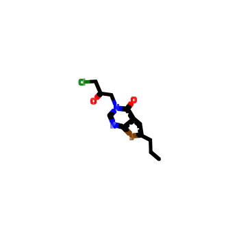 CCCc1cc2c(=O)n(CC(=O)CCl)cnc2s1